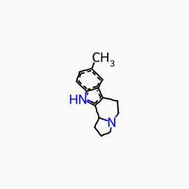 Cc1ccc2[nH]c3c(c2c1)CCN1CCCC31